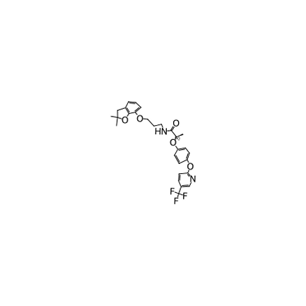 C[C@@H](Oc1ccc(Oc2ccc(C(F)(F)F)cn2)cc1)C(=O)NCCCOc1cccc2c1OC(C)(C)C2